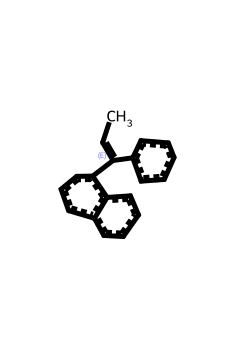 C/C=C(\c1ccccc1)c1cccc2ccccc12